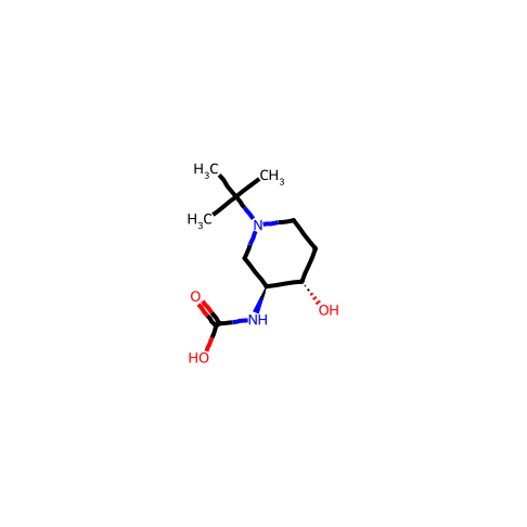 CC(C)(C)N1CC[C@H](O)[C@@H](NC(=O)O)C1